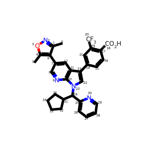 Cc1noc(C)c1-c1cnc2c(c1)c(-c1ccc(C(=O)O)c(C(F)(F)F)c1)cn2C(c1ccccn1)C1CCCC1